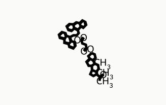 CC(=O)C1CCC2C3CC=C4CC(OC(=O)CCC(=O)OC(Cc5c6ccccc6cc6ccccc56)Cc5c6ccccc6cc6ccccc56)CCC4(C)C3CCC12C